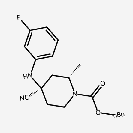 CCCCOC(=O)N1CC[C@@](C#N)(Nc2cccc(F)c2)C[C@@H]1C